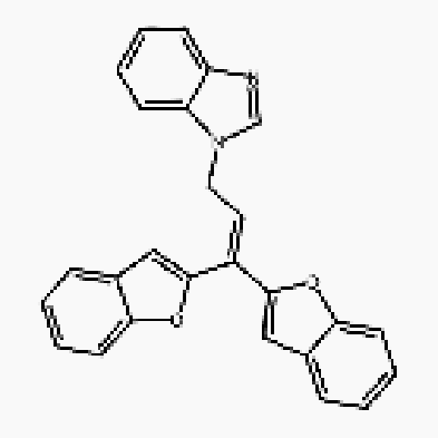 C(Cn1cnc2ccccc21)=C(c1cc2ccccc2o1)c1cc2ccccc2o1